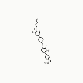 C=CCCCOc1ccc(C2CCC(CCc3ccc(-c4ccc(OCCCC)cc4)c(F)c3F)CC2)cc1F